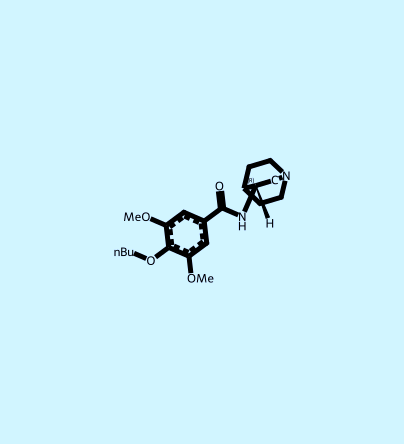 CCCCOc1c(OC)cc(C(=O)N[C@H]2CN3CCC2CC3)cc1OC